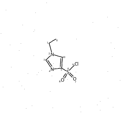 CCn1cnc(S(=O)(=O)Cl)c1